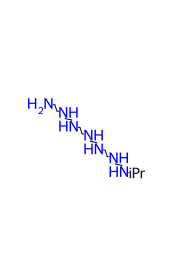 CC(C)NCCNCCNCCNCCNCCNCCN